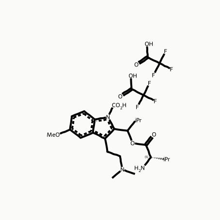 COc1ccc2c(c1)c(CCN(C)C)c(C(OC(=O)[C@@H](N)C(C)C)C(C)C)n2C(=O)O.O=C(O)C(F)(F)F.O=C(O)C(F)(F)F